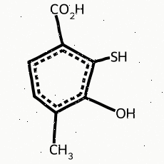 Cc1ccc(C(=O)O)c(S)c1O